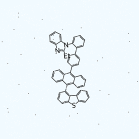 CCc1nc2ccccc2n1-c1ccccc1-c1ccc(-c2c3ccccc3c(-c3cccc4sc5ccccc5c34)c3ccccc23)cc1